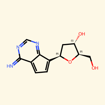 N=C1N=CN=C2C1=CC=C2[C@H]1C[C@H](O)[C@@H](CO)O1